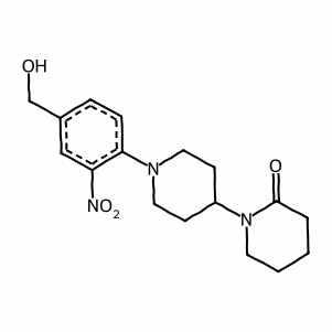 O=C1CCCCN1C1CCN(c2ccc(CO)cc2[N+](=O)[O-])CC1